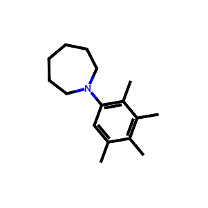 Cc1cc(N2CCCCCC2)c(C)c(C)c1C